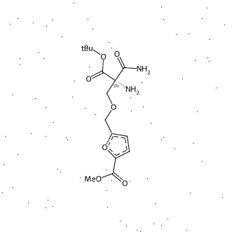 COC(=O)c1ccc(COC[C@](N)(C(N)=O)C(=O)OC(C)(C)C)o1